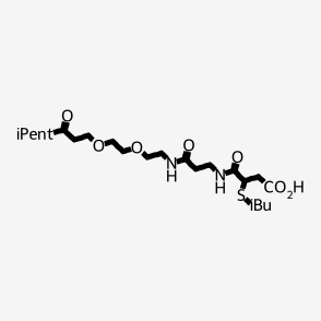 CCCC(C)C(=O)CCOCCOCCNC(=O)CCNC(=O)C(CC(=O)O)SC(C)CC